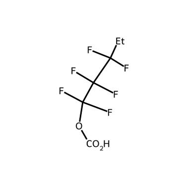 CCC(F)(F)C(F)(F)C(F)(F)OC(=O)O